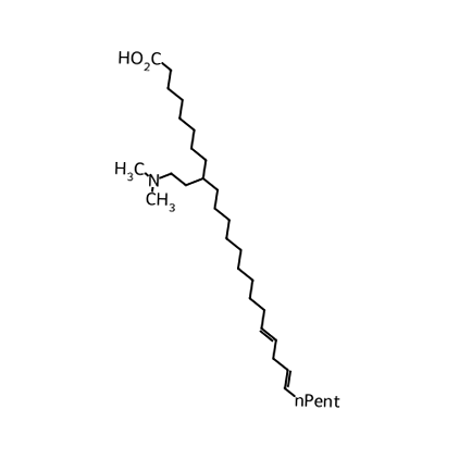 CCCCCC=CCC=CCCCCCCCCCC(CCCCCCCC(=O)O)CCN(C)C